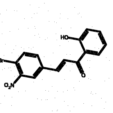 O=C(/C=C/c1ccc(Br)c([N+](=O)[O-])c1)c1ccccc1O